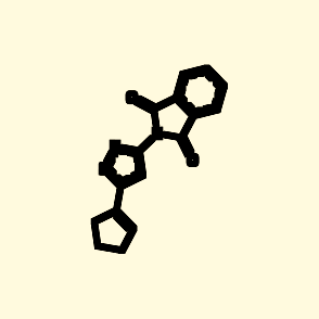 O=C1c2ccccc2C(=O)N1c1cc(C2=CCCC2)sn1